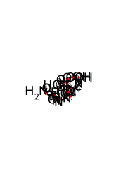 CC[C@H]1OC(=O)[C@H](C)[C@@H](C2C[C@@](C)(OC)[C@@H](O)[C@H](C)O2)[C@H](C)[C@@H](O[C@@H]2O[C@H](C)C[C@H](N(C)CCc3cn([C@H](CF)[C@H](OC)c4ccc(C(N)=O)cc4)nn3)[C@H]2O)[C@](C)(O)C[C@@H](C)CN(C)[C@H](C)[C@@H](O)[C@]1(C)O